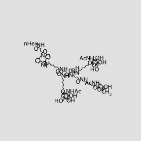 CCCCCCNC(=O)CCC(=O)N1Cc2ccccc2-c2nnn(CCCCCC(=O)NC(CCC(=O)NC(CCC(=O)NCCCCCCO[C@@H]3O[C@H](C)[C@H](O)C[C@H]3NC(C)=O)C(=O)NCCCCCCO[C@@H]3O[C@H](CO)[C@H](O)[C@H](O)[C@H]3NC(C)=O)C(=O)NCCCCCCO[C@@H]3O[C@H](CO)[C@H](O)[C@H](O)[C@H]3NC(C)=O)c2-c2ccccc21